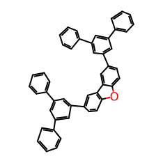 c1ccc(-c2cc(-c3ccccc3)cc(-c3ccc4oc5ccc(-c6cc(-c7ccccc7)cc(-c7ccccc7)c6)cc5c4c3)c2)cc1